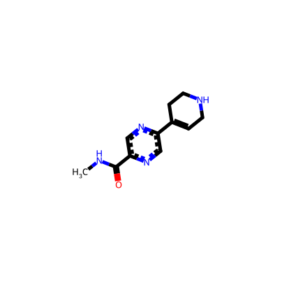 CNC(=O)c1cnc(C2=CCNCC2)cn1